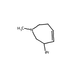 CC(C)C1C=CCCN(C)C1